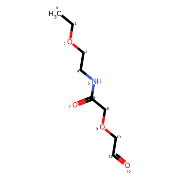 CCOCCNC(=O)COCC=O